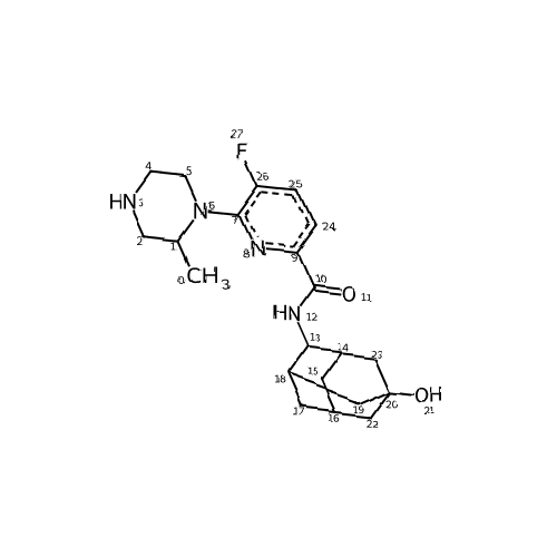 CC1CNCCN1c1nc(C(=O)NC2C3CC4CC2CC(O)(C4)C3)ccc1F